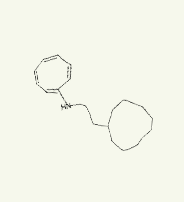 C1=C\C=C/C(NCCC2CCCCCCCC2)=C\C=C/1